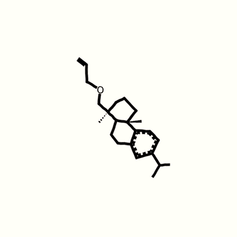 C=CCOC[C@@]1(C)CCC[C@]2(C)c3ccc(C(C)C)cc3CCC12